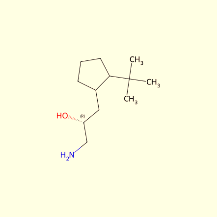 CC(C)(C)C1CCCC1C[C@@H](O)CN